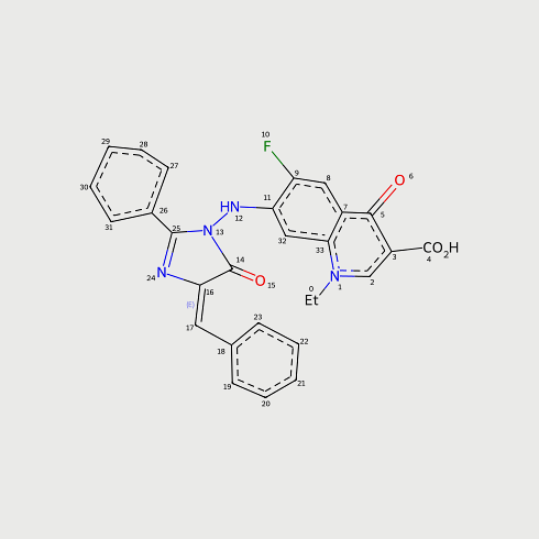 CCn1cc(C(=O)O)c(=O)c2cc(F)c(NN3C(=O)/C(=C\c4ccccc4)N=C3c3ccccc3)cc21